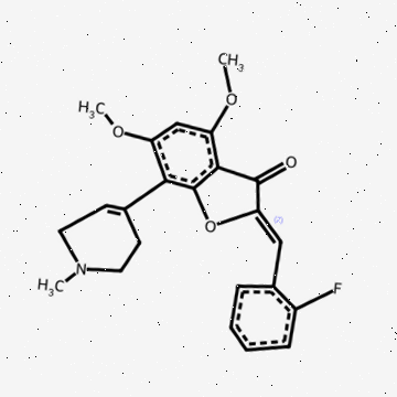 COc1cc(OC)c(C2=CCN(C)CC2)c2c1C(=O)/C(=C/c1ccccc1F)O2